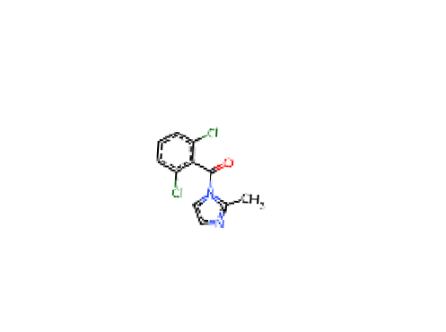 Cc1nccn1C(=O)c1c(Cl)cccc1Cl